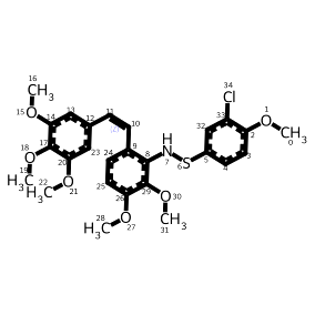 COc1ccc(SNc2c(/C=C\c3cc(OC)c(OC)c(OC)c3)ccc(OC)c2OC)cc1Cl